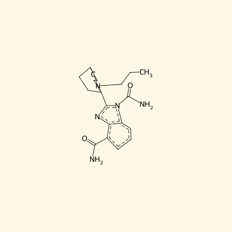 CCCN1CC2CCC1(c1nc3c(C(N)=O)cccc3n1C(N)=O)CC2